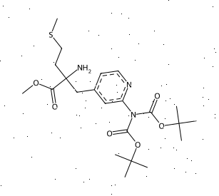 COC(=O)C(N)(CCSC)Cc1ccnc(N(C(=O)OC(C)(C)C)C(=O)OC(C)(C)C)c1